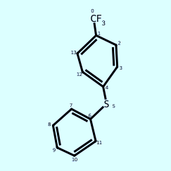 FC(F)(F)c1ccc(Sc2ccccc2)cc1